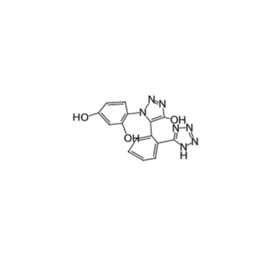 Oc1ccc(-n2nnc(O)c2-c2ccccc2-c2nnn[nH]2)c(O)c1